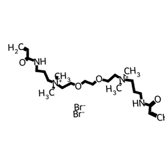 C=CC(=O)NCCC[N+](C)(C)CCOCCOCC[N+](C)(C)CCCNC(=O)C=C.[Br-].[Br-]